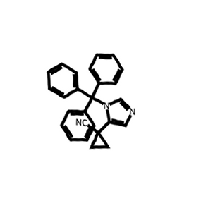 N#CC1(c2cncn2C(c2ccccc2)(c2ccccc2)c2ccccc2)CC1